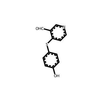 O=Cc1cnccc1Sc1ccc(O)cc1